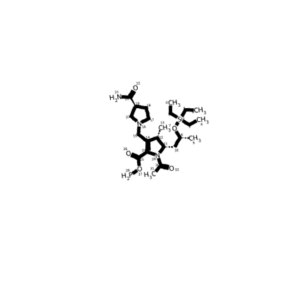 CC[Si](CC)(CC)O[C@H](C)C[C@H]1[C@@H](C)C(CN2CC[C@H](C(N)=O)C2)=C(C(=O)OP)N1C(C)=O